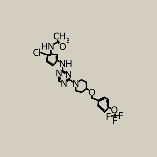 CC(=O)Nc1cc(Nc2ncnc(N3CCC(OCc4ccc(OC(F)(F)F)cc4)CC3)n2)ccc1Cl